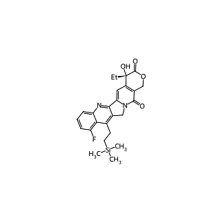 CC[C@@]1(O)C(=O)OCc2c1cc1n(c2=O)Cc2c-1nc1cccc(F)c1c2CC[Si](C)(C)C